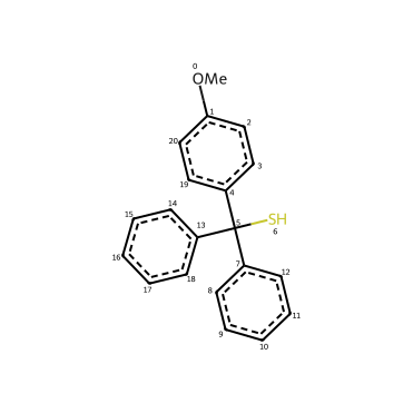 COc1ccc(C(S)(c2ccccc2)c2ccccc2)cc1